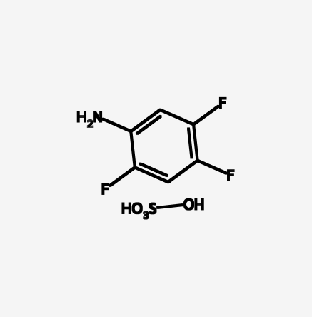 Nc1cc(F)c(F)cc1F.O=S(=O)(O)O